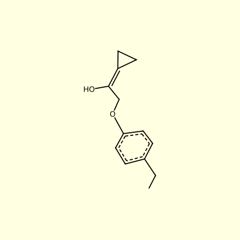 CCc1ccc(OCC(O)=C2CC2)cc1